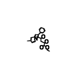 CCOC(=O)C(=O)CC(=O)c1c(-c2ccccc2)cc2cc(C)ccn12